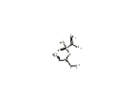 C=CC(CC(C)C)OP(=O)(O)C(=C)C